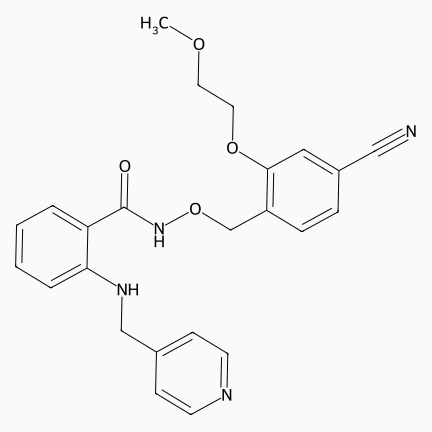 COCCOc1cc(C#N)ccc1CONC(=O)c1ccccc1NCc1ccncc1